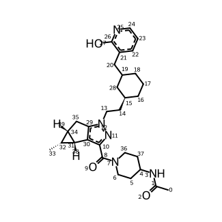 CC(=O)NC1CCN(C(=O)c2nn(CC[C@@H]3CCCC(Cc4cccnc4O)C3)c3c2[C@@H]2[C@H](C)[C@@H]2C3)CC1